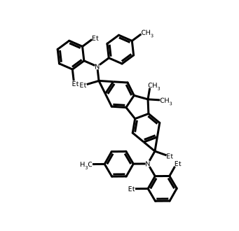 CCc1cccc(CC)c1N(c1ccc(C)cc1)C1(CC)c2cc3c(cc21)C(C)(C)c1cc2c(cc1-3)C2(CC)N(c1ccc(C)cc1)c1c(CC)cccc1CC